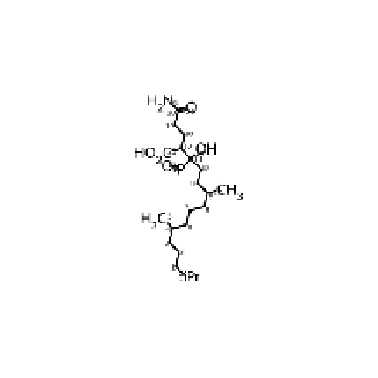 CC(C)CCCC(C)CCCC(C)CCC(O)(P=O)C(CCC(N)=O)C(=O)O